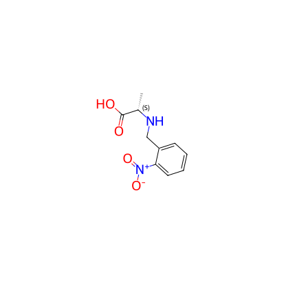 C[C@H](NCc1ccccc1[N+](=O)[O-])C(=O)O